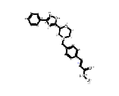 O=C(/C=C/c1ccc(CN2CCOC(c3nc(-c4ccccc4)no3)C2)cc1)NO